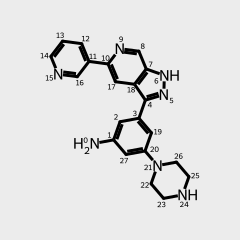 Nc1cc(-c2n[nH]c3cnc(-c4cccnc4)cc23)cc(N2CCNCC2)c1